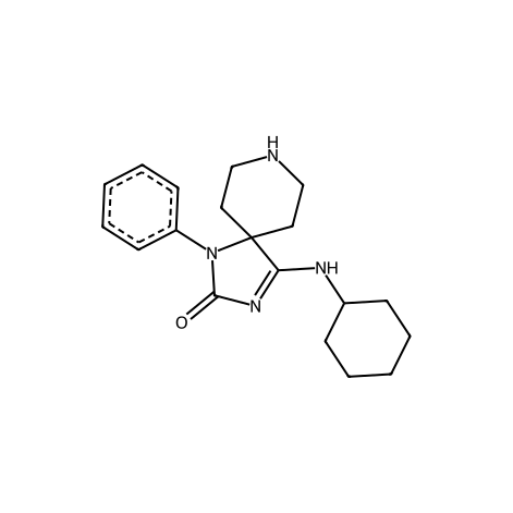 O=C1N=C(NC2CCCCC2)C2(CCNCC2)N1c1ccccc1